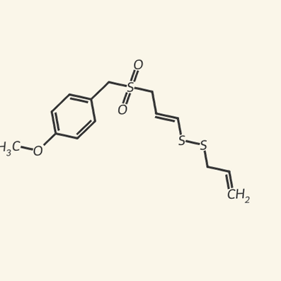 C=CCSSC=CCS(=O)(=O)Cc1ccc(OC)cc1